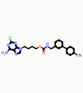 N#Cc1ccc(-c2cccc(CNC(=O)OCCCCn3cnc4c(N)nc(Cl)nc43)c2)cc1